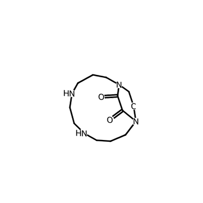 O=C1C(=O)N2CCCNCCNCCCN1CC2